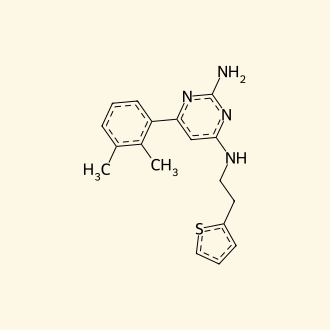 Cc1cccc(-c2cc(NCCc3cccs3)nc(N)n2)c1C